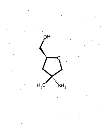 B[C@@]1(C)CO[C@H](CO)C1